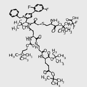 CC(C)(C)OC(=O)CCC(NC(=O)CCNC(=O)C(CCN(C(=O)CSCC(N)C(=O)OC(C)(C)C)C(c1cc(-c2cc(F)ccc2F)cn1Cc1ccccc1)C(C)(C)C)NC(=O)OCC[Si](C)(C)C)C(=O)OC(C)(C)C.O=C(O)C(F)(F)F